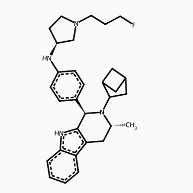 C[C@@H]1Cc2c([nH]c3ccccc23)[C@@H](c2ccc(N[C@H]3CCN(CCCF)C3)cc2)N1C1CC2CC1C2